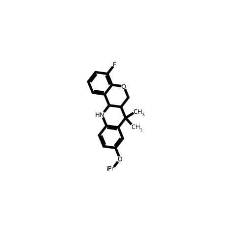 CC(C)Oc1ccc2c(c1)C(C)(C)C1COc3c(F)cccc3C1N2